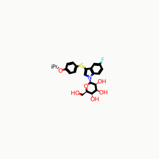 CC(C)Oc1ccc(Sc2cn([C@@H]3O[C@H](CO)[C@@H](O)[C@H](O)[C@H]3O)c3ccc(F)cc23)cc1